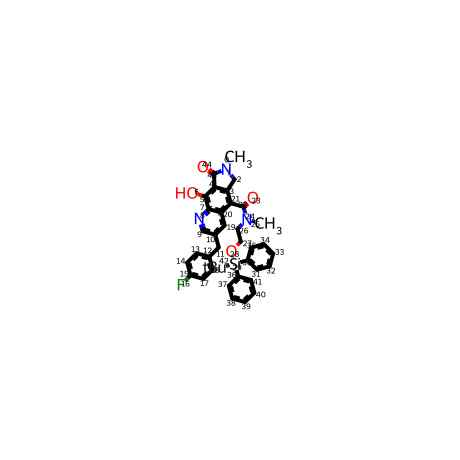 CN1Cc2c(c(O)c3ncc(Cc4ccc(F)cc4)cc3c2C(=O)N(C)CCO[Si](c2ccccc2)(c2ccccc2)C(C)(C)C)C1=O